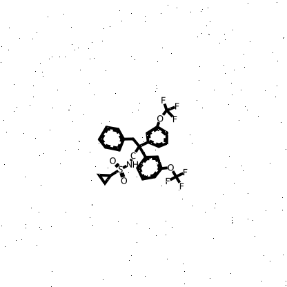 O=S(=O)(NCC(Cc1ccccc1)(c1cccc(OC(F)(F)F)c1)c1cccc(OC(F)(F)F)c1)C1CC1